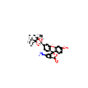 CC1(C)OB(c2ccc3c(c2)Oc2cc(O)ccc2C32OC(=O)c3ccc(N)cc32)OC1(C)C